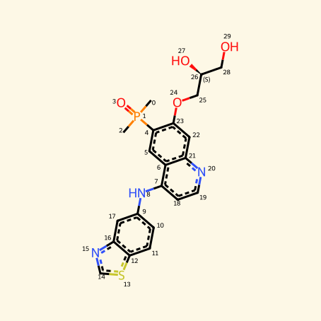 CP(C)(=O)c1cc2c(Nc3ccc4scnc4c3)ccnc2cc1OC[C@@H](O)CO